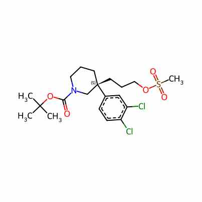 CC(C)(C)OC(=O)N1CCC[C@](CCCOS(C)(=O)=O)(c2ccc(Cl)c(Cl)c2)C1